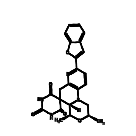 C[C@@H]1CN2c3ccc(-c4cc5ccccc5o4)nc3CC3(C(=O)NC(=O)NC3=O)[C@H]2[C@H](C)O1